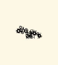 CC([C@@H]1CC[C@@H](Nc2ncnc3[nH]cc(C(=O)c4ccc(Oc5ccccc5)cc4Cl)c23)CO1)N1C(=O)c2ccccc2C1=O